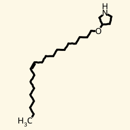 CCCCCCCC/C=C\CCCCCCCCCCOC1CCNC1